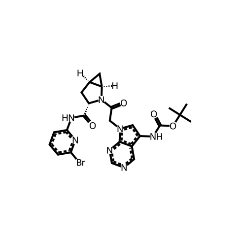 CC(C)(C)OC(=O)Nc1cn(CC(=O)N2[C@@H]3C[C@@H]3C[C@H]2C(=O)Nc2cccc(Br)n2)c2ncncc12